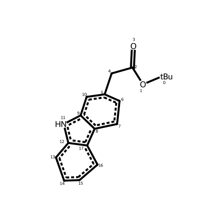 CC(C)(C)OC(=O)Cc1ccc2c(c1)[nH]c1ccccc12